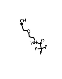 C#CCOCCNC(=O)C(F)(F)F